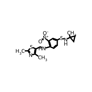 Cc1nc(C)c(CNc2ccc(SNC3(C)CC3)cc2[N+](=O)[O-])s1